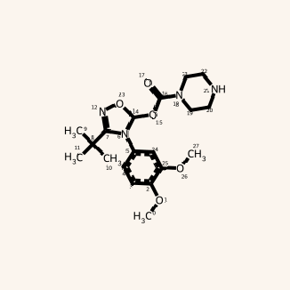 COc1ccc(N2C(C(C)(C)C)=NOC2OC(=O)N2CCNCC2)cc1OC